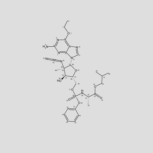 CCOc1nc(N)nc2c1ncn2[C@@H]1O[C@H](COP(=O)(N[C@@H](C)C(=O)OCC(C)C)Oc2ccccc2)[C@@H](O)[C@@]1(C)N=[N+]=[N-]